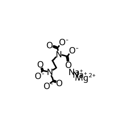 O=C([O-])N(CCN(C(=O)[O-])C(=O)[O-])C(=O)[O-].[Mg+2].[Na+].[Na+]